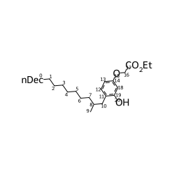 CCCCCCCCCCCCCCCCCC(C)Cc1ccc(OCC(=O)OCC)cc1O